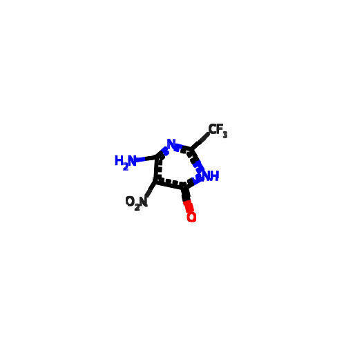 Nc1nc(C(F)(F)F)[nH]c(=O)c1[N+](=O)[O-]